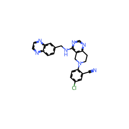 N#Cc1cc(Cl)ccc1N1CCc2ncnc(NCc3ccc4nccnc4c3)c2C1